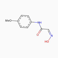 COc1ccc(NC(=O)/C=N\O)cc1